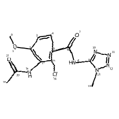 COc1ccc(C(=O)Nc2nnnn2C)c(Cl)c1NC(C)=O